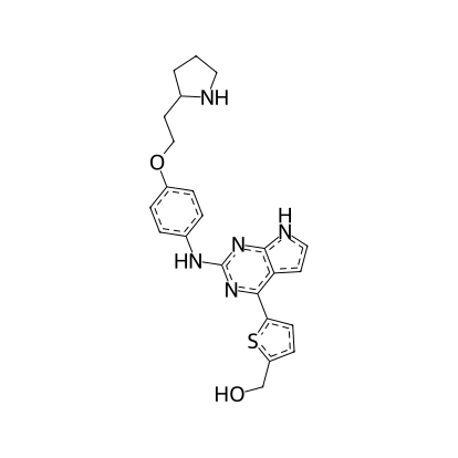 OCc1ccc(-c2nc(Nc3ccc(OCCC4CCCN4)cc3)nc3[nH]ccc23)s1